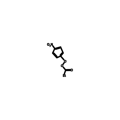 CCC(=O)OOc1ccc([N+](=O)[O-])cc1